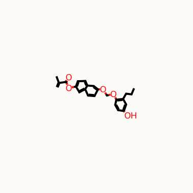 C=C(C)C(=O)Oc1ccc2cc(OCOc3ccc(O)cc3CCC)ccc2c1